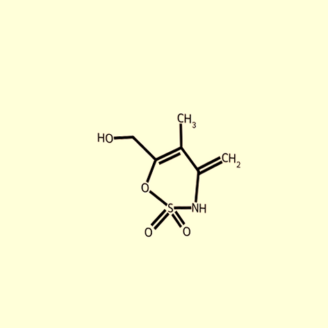 C=C1NS(=O)(=O)OC(CO)=C1C